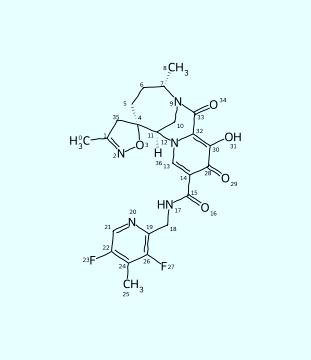 CC1=NO[C@@]2(CC[C@H](C)N3C[C@H]2n2cc(C(=O)NCc4ncc(F)c(C)c4F)c(=O)c(O)c2C3=O)C1